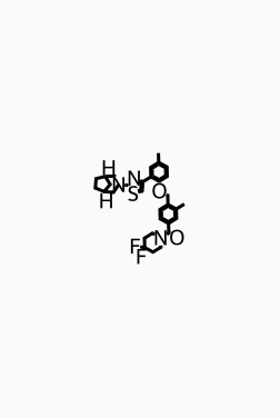 Cc1ccc(OCc2ccc(C(=O)N3CCC(F)(F)CC3)cc2C)c(-c2csc(N3C[C@@H]4CC[C@@H](C4)C3)n2)c1